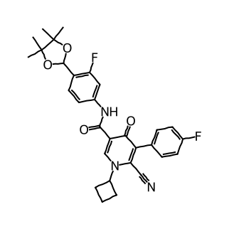 CC1(C)OC(c2ccc(NC(=O)c3cn(C4CCC4)c(C#N)c(-c4ccc(F)cc4)c3=O)cc2F)OC1(C)C